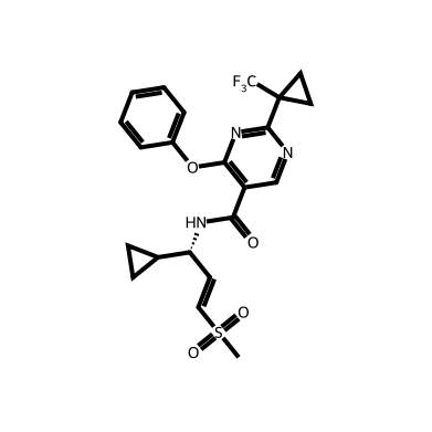 CS(=O)(=O)/C=C/[C@@H](NC(=O)c1cnc(C2(C(F)(F)F)CC2)nc1Oc1ccccc1)C1CC1